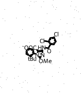 COC1=NC(NC(=O)c2ccc(Cl)cc2Cl)=C(C(=O)[O-])[N+]1(c1ccccc1)C(C)(C)C